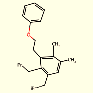 Cc1cc(CC(C)C)c(CC(C)C)c(CCOc2ccccc2)c1C